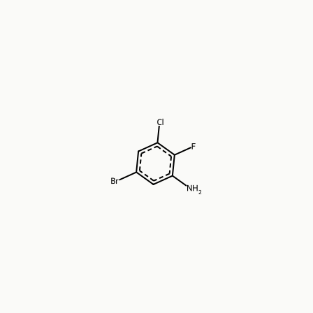 Nc1cc(Br)cc(Cl)c1F